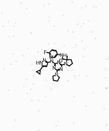 CC1(C(=O)Nc2ccc(F)nc2)CCCN1c1nc(Nc2cc(C3CC3)[nH]n2)nc(N2CCCC2)n1